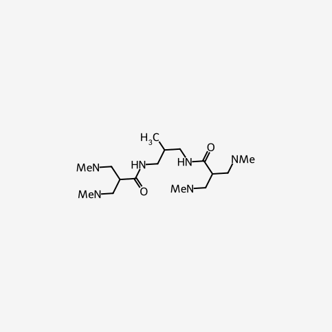 CNCC(CNC)C(=O)NCC(C)CNC(=O)C(CNC)CNC